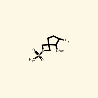 COC1C(C)CCC12CN(S(C)(=O)=O)C2